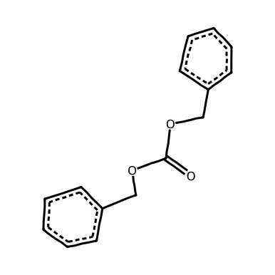 O=C(OCc1ccccc1)OCc1ccccc1